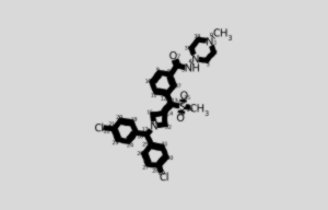 CN1CCN(NC(=O)c2cccc(C(=C3CN(C(c4ccc(Cl)cc4)c4ccc(Cl)cc4)C3)S(C)(=O)=O)c2)CC1